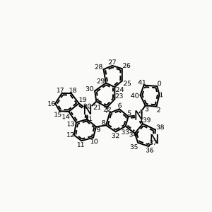 c1ccc(-n2c3ccc(-c4cccc5c6ccccc6n(-c6ccc7ccccc7c6)c45)cc3c3ccncc32)cc1